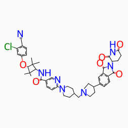 CC1(C)C(NC(=O)c2ccc(N3CCC(CN4CCC(c5ccc6c(c5)C(=O)N(C5CCC(=O)NC5=O)C6=O)CC4)CC3)nc2)C(C)(C)C1Oc1ccc(C#N)c(Cl)c1